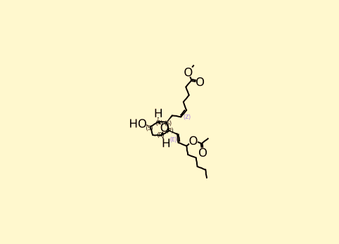 CCCCCC(/C=C/[C@@H]1[C@H](C/C=C\CCCC(=O)OC)[C@H]2O[C@@H]1C[C@@H]2O)OC(C)=O